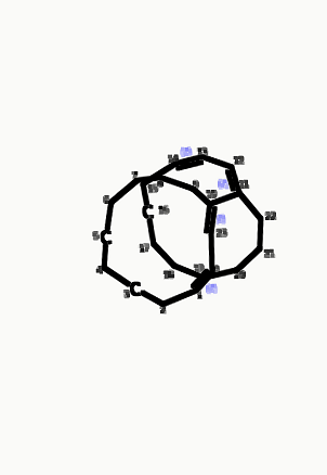 C1=C\CCCCCCCCC(/C2=C\C=C/CCCCCCCC2)=C/1